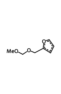 COCOCc1ccco1